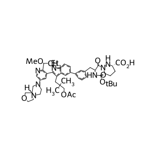 CCn1c(-c2cc(N3CCN4CCOC[C@@H]4C3)cnc2C(C)OC)c(CC(C)(C)COC(C)=O)c2cc(-c3cccc(CC(NC(=O)OC(C)(C)C)C(=O)N4CCC[C@@H](C(=O)O)N4)c3)ccc21